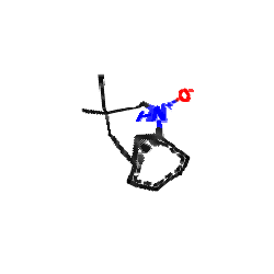 CC1(C)Cc2ccccc2[NH+]([O-])C1